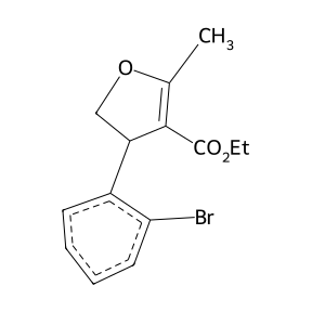 CCOC(=O)C1=C(C)OCC1c1ccccc1Br